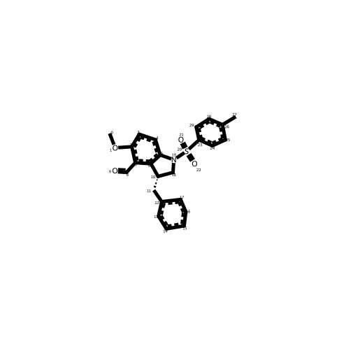 COc1ccc2c(c1C=O)[C@@H](Cc1ccccc1)CN2S(=O)(=O)c1ccc(C)cc1